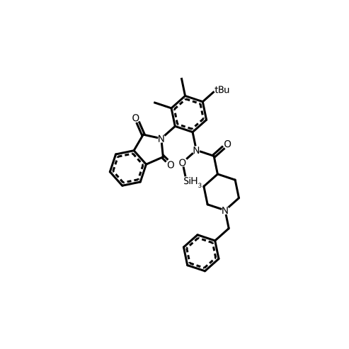 Cc1c(C(C)(C)C)cc(N(O[SiH3])C(=O)C2CCN(Cc3ccccc3)CC2)c(N2C(=O)c3ccccc3C2=O)c1C